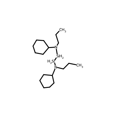 CCCN([SiH2][SiH2]N(CCC)C1CCCCC1)C1CCCCC1